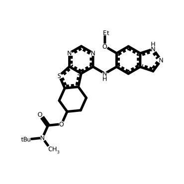 CCOc1cc2[nH]ncc2cc1Nc1ncnc2sc3c(c12)CCC(OC(=O)N(C)C(C)(C)C)C3